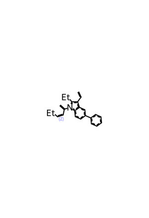 C=Cc1c(CC)n(C(=C)/C=C\CC)c2ccc(-c3ccccc3)cc12